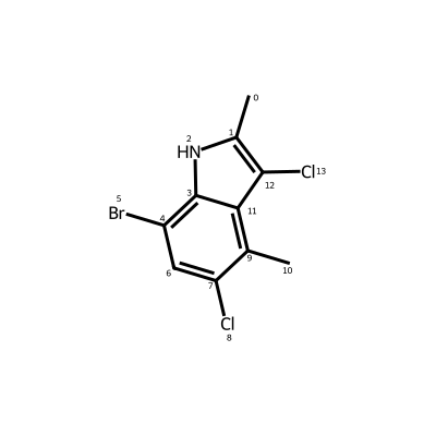 Cc1[nH]c2c(Br)cc(Cl)c(C)c2c1Cl